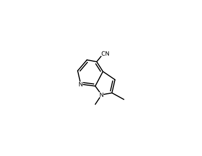 Cc1cc2c(C#N)ccnc2n1C